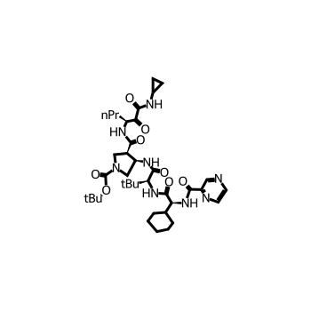 CCC[C@H](NC(=O)[C@@H]1CN(C(=O)OC(C)(C)C)C[C@@H]1NC(=O)[C@@H](NC(=O)[C@@H](NC(=O)c1cnccn1)C1CCCCC1)C(C)(C)C)C(=O)C(=O)NC1CC1